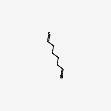 S=CCCCCC=S